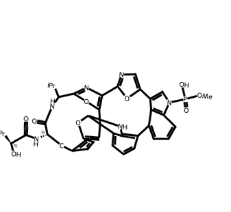 COP(=O)(O)n1cc2c3c(cccc31)-c1cccc3c1NC1Oc4ccc5cc4C31c1oc(nc1-c1ncc-2o1)C(C(C)C)NC(=O)[C@@H](NC(=O)[C@@H](O)C(C)C)C5